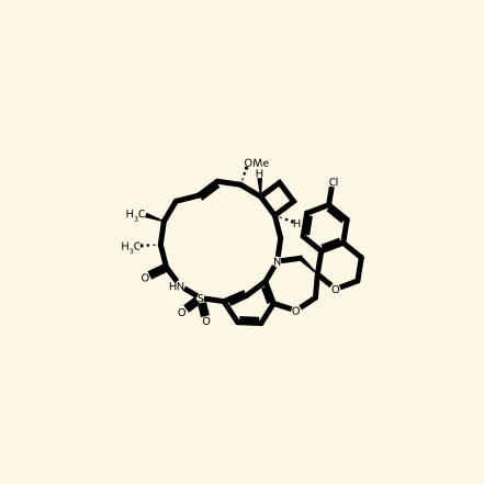 CO[C@H]1/C=C/C[C@H](C)[C@@H](C)C(=O)NS(=O)(=O)c2ccc3c(c2)N(C[C@@H]2CC[C@H]21)C[C@]1(CO3)OCCc2cc(Cl)ccc21